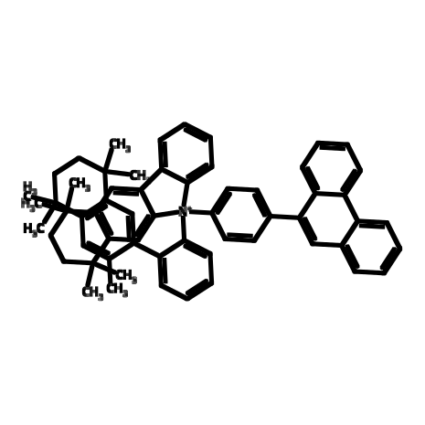 Cc1cc2c(cc1-c1ccccc1[N+]1(c3ccc(-c4cc5ccccc5c5ccccc45)cc3)c3ccccc3-c3cc4c(cc31)C(C)(C)CCC4(C)C)C(C)(C)CCC2(C)C